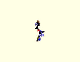 Cc1nc(NCc2nnc(C)s2)cc(OC[C@H]2C[C@@H]2c2ccc(Br)cn2)n1